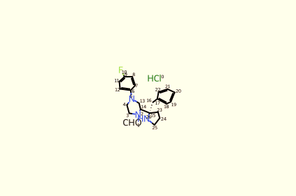 Cl.O=CN1CCN(c2ccc(F)cc2)CC1[C@@]1(Cc2ccccc2)CCCN1